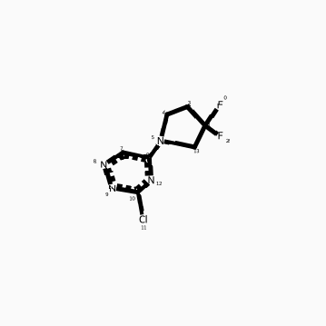 FC1(F)CCN(c2cnnc(Cl)n2)C1